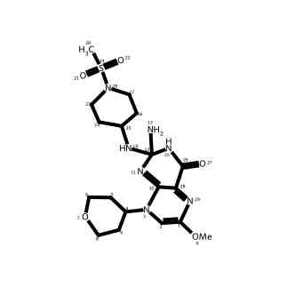 COC1=CN(C2CCOCC2)C2=NC(N)(NC3CCN(S(C)(=O)=O)CC3)NC(=O)C2=N1